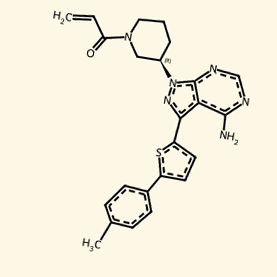 C=CC(=O)N1CCC[C@@H](n2nc(-c3ccc(-c4ccc(C)cc4)s3)c3c(N)ncnc32)C1